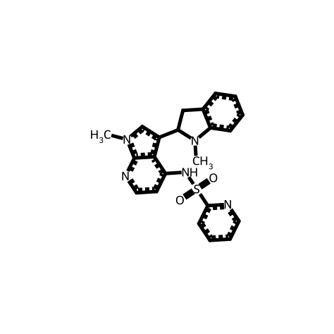 CN1c2ccccc2CC1c1cn(C)c2nccc(NS(=O)(=O)c3ccccn3)c12